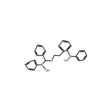 OB(c1ccccc1)c1ccccc1CCOC(B(O)c1ccccc1)c1ccccc1